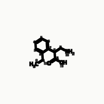 CCc1ccccc1C(CN)C(=O)O